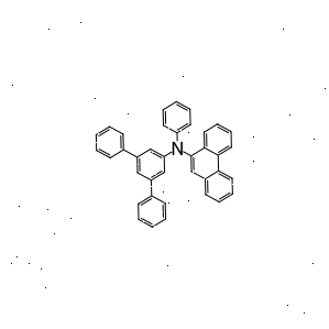 c1ccc(-c2cc(-c3ccccc3)cc(N(c3ccccc3)c3cc4ccccc4c4ccccc34)c2)cc1